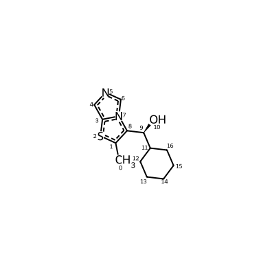 Cc1sc2cncn2c1[C@@H](O)C1CCCCC1